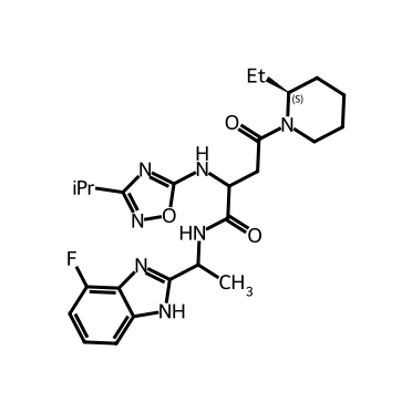 CC[C@H]1CCCCN1C(=O)CC(Nc1nc(C(C)C)no1)C(=O)NC(C)c1nc2c(F)cccc2[nH]1